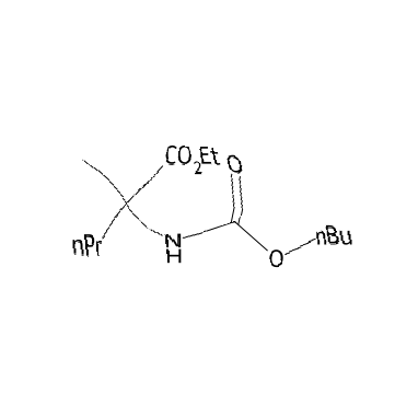 CCCCOC(=O)NC(C)(CCC)C(=O)OCC